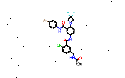 CC(C)(C)C(=O)NCc1ccc(Cl)c(C(=O)Nc2ccc(N3CC(F)(F)C3)c(C(=O)Nc3ccc(Br)cc3)c2)c1